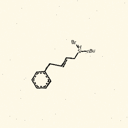 CCCC[SiH](Br)CC=CCc1ccccc1